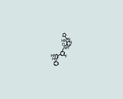 N=C/C(=C\Nc1ccccc1)c1cc(F)cc(CNC(=O)c2ncnc3nc(C4CCCC4)[nH]c23)c1